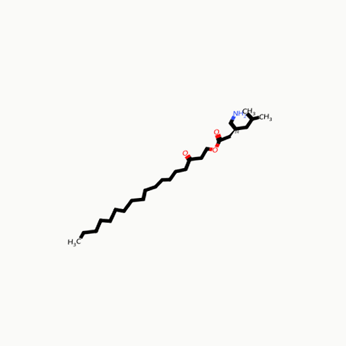 CCCCCCCCCCCCCCCC(=O)CCOC(=O)C[C@@H](CN)CC(C)C